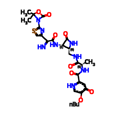 CCCCOc1c[nH]c(C(=O)N[C@@H](C)C(=O)NC[C@H]2NC(=O)[C@H]2NC(=O)C(=N)c2csc(N3C(=O)OC3(C)C)n2)cc1=O